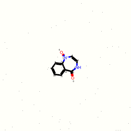 O=c1[nH]cc[n+](=O)c2ccccc12